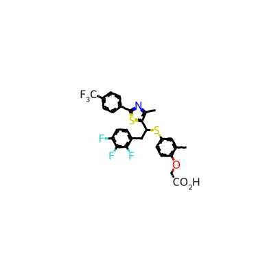 Cc1cc(SC(Cc2ccc(F)c(F)c2F)c2sc(-c3ccc(C(F)(F)F)cc3)nc2C)ccc1OCC(=O)O